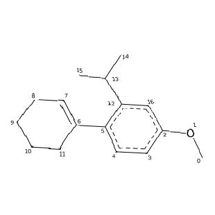 COc1ccc(C2=CCCCC2)c(C(C)C)c1